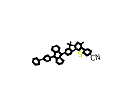 Cc1cc2c(c3sc4cc(C#N)ccc4c13)-c1ccc(-c3c4ccccc4c(-c4ccc(-c5ccccc5)cc4)c4ccccc34)cc1C2(C)C